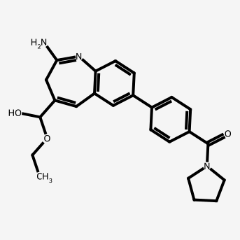 CCOC(O)C1=Cc2cc(-c3ccc(C(=O)N4CCCC4)cc3)ccc2N=C(N)C1